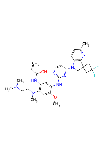 C=CC(O)Nc1cc(Nc2nccc(N3CC4(CC(F)(F)C4)c4nc(C)ccc43)n2)c(OC)cc1N(C)CCN(C)C